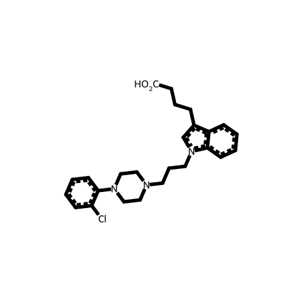 O=C(O)CCCc1cn(CCCN2CCN(c3ccccc3Cl)CC2)c2ccccc12